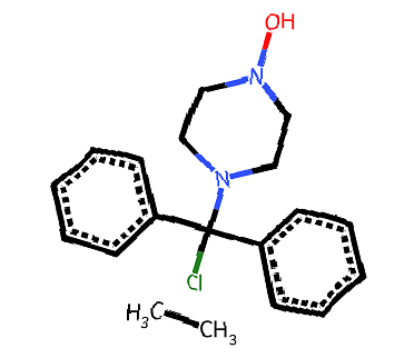 CC.ON1CCN(C(Cl)(c2ccccc2)c2ccccc2)CC1